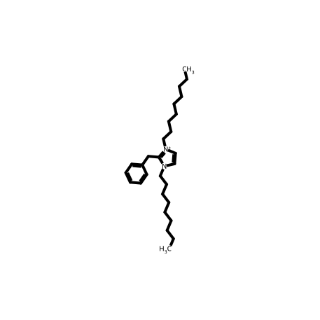 CCCCCCCCCn1cc[n+](CCCCCCCCC)c1Cc1ccccc1